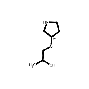 CC(C)CO[C@@H]1CCNC1